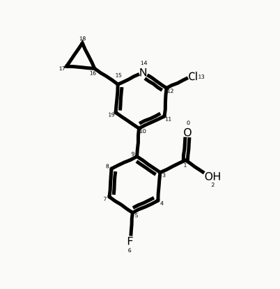 O=C(O)c1cc(F)ccc1-c1cc(Cl)nc(C2CC2)c1